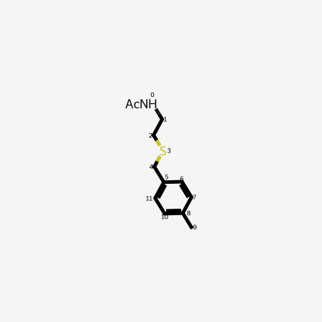 CC(=O)NCCSCc1ccc(C)cc1